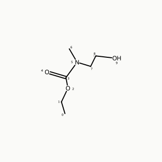 CCOC(=O)N(C)C[CH]O